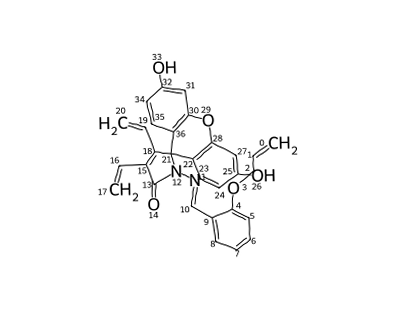 C=CCOc1ccccc1C=NN1C(=O)C(C=C)=C(C=C)C12c1ccc(O)cc1Oc1cc(O)ccc12